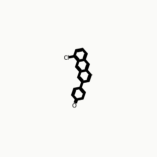 O=C1C=CC(c2c[c]c3cc4cccc(Cl)c4cc3c2)=CC1